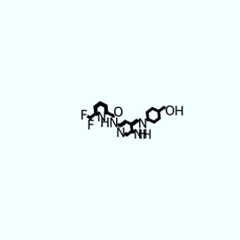 N=C1C=NC(NC(=O)c2cccc(C(F)F)n2)=C/C1=C/NC1CCC(CO)CC1